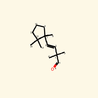 CC(C)(C=O)C=CC1(C)CCCC1(C)C